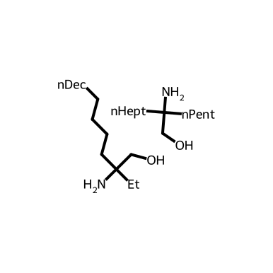 CCCCCCCC(N)(CO)CCCCC.CCCCCCCCCCCCCCC(N)(CC)CO